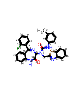 Cc1cccc(NC(=O)N(Cc2nc3ccccc3s2)C2N=C(c3ccccc3F)c3ccccc3NC2=O)c1